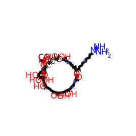 C/C1=C\C=C\[C@H](C)[C@@H](O)C[C@H](O)[C@@H](C)[C@H](O)CC[C@H](C)[C@@H](O)C[C@@]2(O)O[C@@H](C[C@@H](OC(=O)CC(=O)O)C[C@H](O)C[C@@H](O)C[C@H](O)/C(C)=C/C=C/[C@@H](C)[C@H]([C@@H](C)CCC/C=C/CCCN=C(N)N)OC1=O)C[C@@H](O)[C@@H]2O